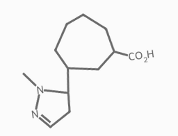 CN1N=CCC1C1CCCCC(C(=O)O)C1